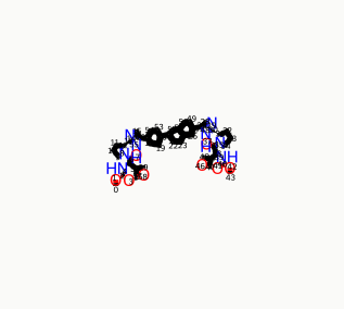 COC(=O)N[C@H](C(=O)N1CCC[C@H]1c1ncc(-c2ccc(-c3ccc4cc(-c5cnc([C@@H]6CCCN6C(=O)[C@@H](NC(=O)OC)C6COC6)[nH]5)ccc4c3)cc2)[nH]1)C1COC1